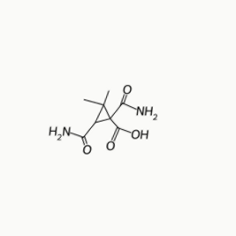 CC1(C)C(C(N)=O)C1(C(N)=O)C(=O)O